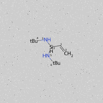 C=C[SiH](NC(C)(C)C)NC(C)(C)C